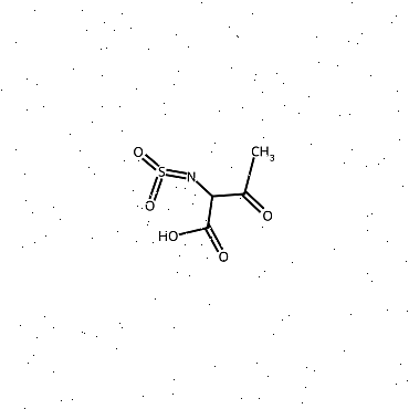 CC(=O)C(N=S(=O)=O)C(=O)O